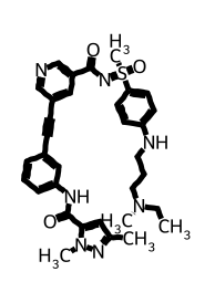 CCN(C)CCCNc1ccc(S(C)(=O)=NC(=O)c2cncc(C#Cc3cccc(NC(=O)c4cc(C)nn4C)c3)c2)cc1